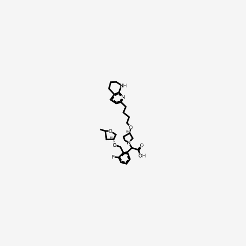 CC1C[C@@H](OCc2c(F)cccc2C(C(=O)O)N2CC[C@@H](OCCCCc3ccc4c(n3)NCCC4)C2)CO1